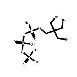 O=P(O)(O)OP(=O)(O)OP(=O)(O)OCC(CBr)(CBr)CBr